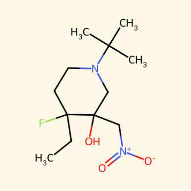 CCC1(F)CCN(C(C)(C)C)CC1(O)C[N+](=O)[O-]